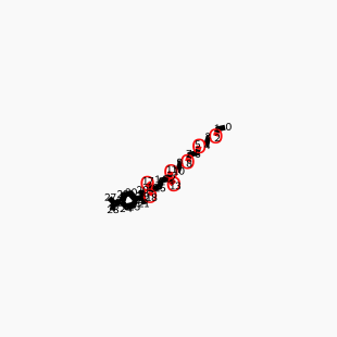 CCOCCOCCOCCOC(=O)CCC(=O)OC(C)(C)c1ccc(C(C)C)cc1